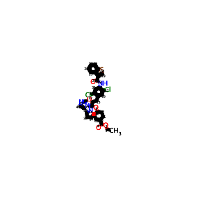 CCOC(=O)C1CCC(OC(C(=O)Cc2cc(Cl)c(NC(=O)c3csc4ccccc34)cc2Cl)(N2CCCC2)n2ccnc2)CC1